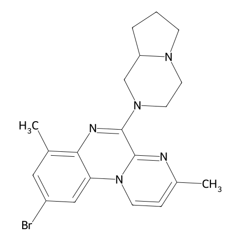 CC1=C=CN2C(=N1)C(N1CCN3CCCC3C1)=Nc1c(C)cc(Br)cc12